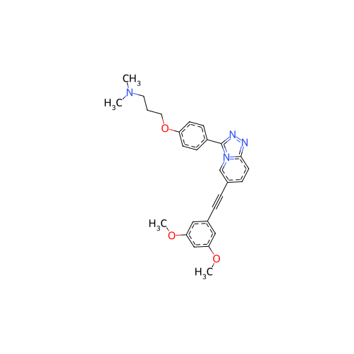 COc1cc(C#Cc2ccc3nnc(-c4ccc(OCCCN(C)C)cc4)n3c2)cc(OC)c1